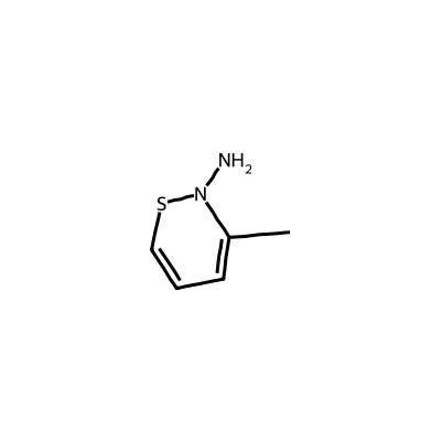 CC1=CC=CSN1N